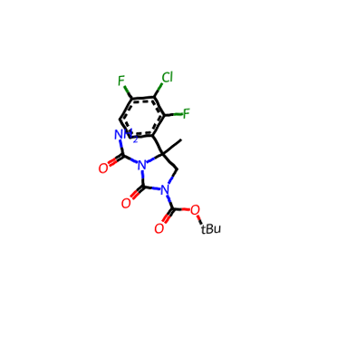 CC(C)(C)OC(=O)N1CC(C)(c2ccc(F)c(Cl)c2F)N(C(N)=O)C1=O